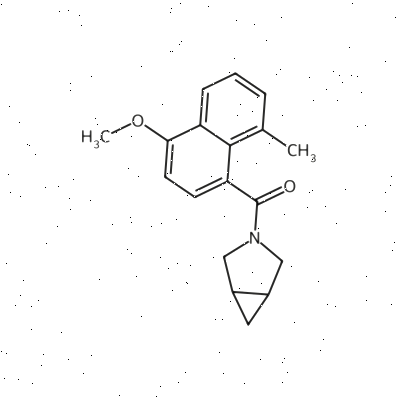 COc1ccc(C(=O)N2CC3CC3C2)c2c(C)cccc12